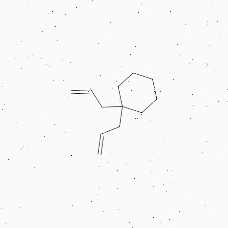 C=CCC1(CC=C)CCCCC1